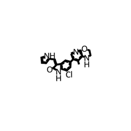 Cc1c(-c2cc(Cl)c3c(c2)/C(=C/c2ccc[nH]2)C(=O)N3)cnc2c1NCCO2